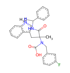 CC(NC(=O)C(C)(Cc1c[nH]c2ccccc12)N(Cc1cccc(F)c1)C(=O)O)c1ccccc1